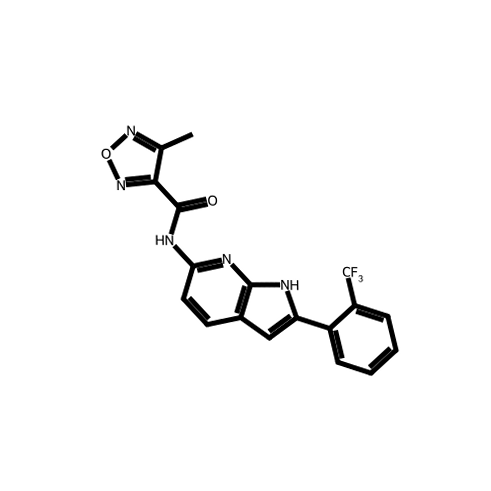 Cc1nonc1C(=O)Nc1ccc2cc(-c3ccccc3C(F)(F)F)[nH]c2n1